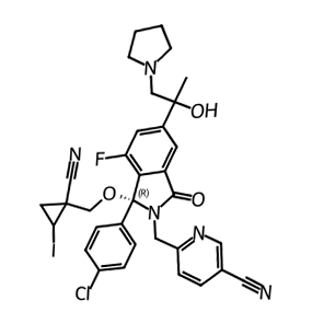 CC(O)(CN1CCCC1)c1cc(F)c2c(c1)C(=O)N(Cc1ccc(C#N)cn1)[C@@]2(OCC1(C#N)CC1I)c1ccc(Cl)cc1